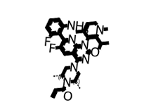 C=CC(=O)N1[C@H](C)CN(c2nc(=O)n(C3=C(C(C)C)N(C)CC=C3C)c3nc(-c4c(N)cccc4F)c(F)cc23)C[C@@H]1C